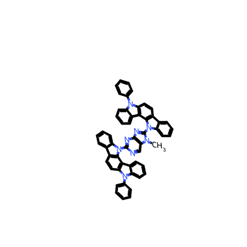 Cn1c(-n2c3ccccc3c3ccc4c(c5ccccc5n4-c4ccccc4)c32)nc2nc(-n3c4ccccc4c4ccc5c(c6ccccc6n5-c5ccccc5)c43)ncc21